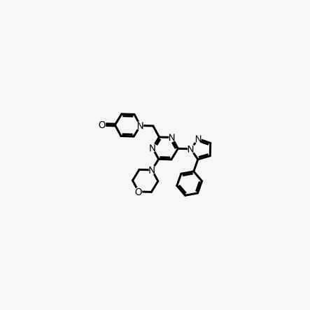 O=c1ccn(Cc2nc(N3CCOCC3)cc(-n3nccc3-c3ccccc3)n2)cc1